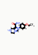 NC(=O)C1=C2CNCCN2CN1c1ccc(OCC(F)(F)F)cc1